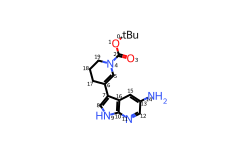 CC(C)(C)OC(=O)N1C=C(c2c[nH]c3ncc(N)cc23)CCC1